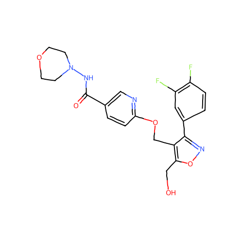 O=C(NN1CCOCC1)c1ccc(OCc2c(-c3ccc(F)c(F)c3)noc2CO)nc1